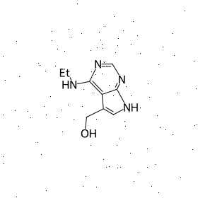 CCNc1ncnc2[nH]cc(CO)c12